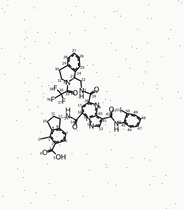 Cc1c(C(=O)O)ccc2c1CC[C@@H]2NC(=O)c1cc(C(=O)NCC2c3ccccc3CCN2C(=O)C(F)(F)F)nc2c(C(=O)Nc3ccccc3I)cnn12